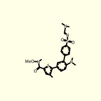 CON(C)C(=O)c1cc(C)c(-c2ccc(N(C)C)c(-c3ccc(S(=O)(=O)N=CN(C)C)cc3)c2)s1